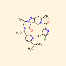 C=C(C)c1ccc(C(C)N2C[C@@H](C)n3nc4c(c3C2=O)CN(C(=O)c2cc(C(F)(F)F)c(Cl)cn2)[C@H](C)C4)cn1